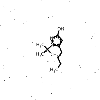 CCCCc1cc(O)nn1C(C)(C)C